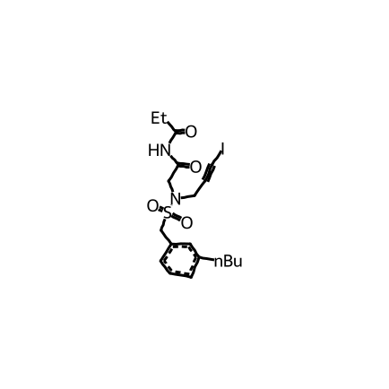 CCCCc1cccc(CS(=O)(=O)N(CC#CI)CC(=O)NC(=O)CC)c1